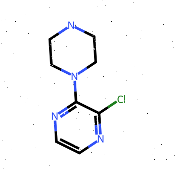 Clc1nccnc1N1CC[N]CC1